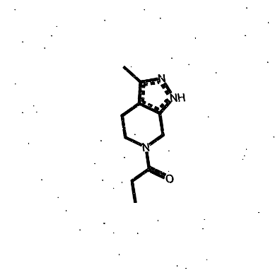 CCC(=O)N1CCc2c(C)n[nH]c2C1